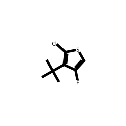 CC(C)(C)c1c(F)csc1Cl